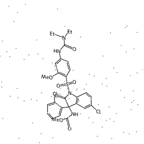 CCN(CC)C(=O)Nc1ccc(S(=O)(=O)N2C(=O)C(NC(=O)OC)(c3ccccc3Cl)c3cc(Cl)ccc32)c(OC)c1